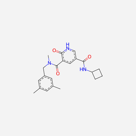 Cc1cc(C)cc(CN(C)C(=O)c2cc(C(=O)NC3CCC3)c[nH]c2=O)c1